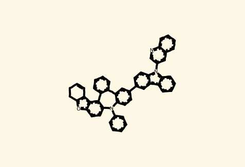 C1=Cc2c(oc3ccc4c(c23)-c2ccccc2-c2cc(-c3ccc5c(c3)c3ccccc3n5-c3cnc5ccccc5c3)ccc2N4c2ccccc2)CC1